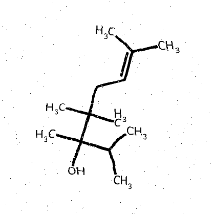 CC(C)=CCC(C)(C)C(C)(O)C(C)C